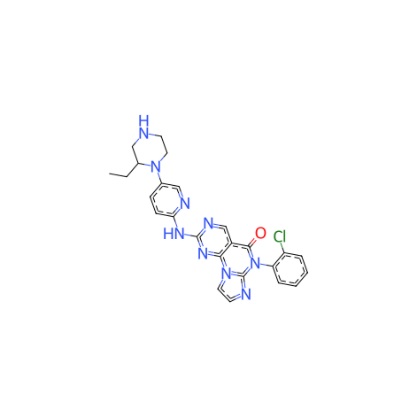 CCC1CNCCN1c1ccc(Nc2ncc3c(=O)n(-c4ccccc4Cl)c4nccn4c3n2)nc1